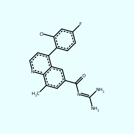 Cc1cc(C(=O)N=C(N)N)cc2c(-c3ccc(F)cc3Cl)ccnc12